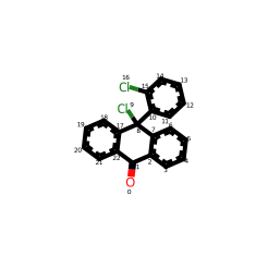 O=C1c2ccccc2C(Cl)(c2ccccc2Cl)c2ccccc21